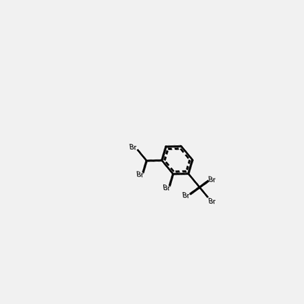 Brc1c(C(Br)Br)cccc1C(Br)(Br)Br